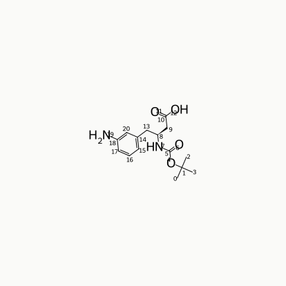 CC(C)(C)OC(=O)N[C@H](CC(=O)O)Cc1cccc(N)c1